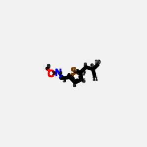 CON=Cc1ccc(CC(C)C)s1